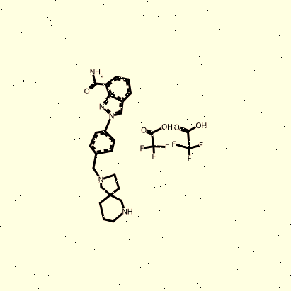 NC(=O)c1cccc2cn(-c3ccc(CN4CCC5(CCCNC5)C4)cc3)nc12.O=C(O)C(F)(F)F.O=C(O)C(F)(F)F